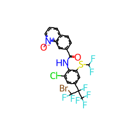 O=C(Nc1c(Cl)cc(C(F)(C(F)(F)F)C(F)(F)Br)cc1SC(F)F)c1ccc2ccc[n+]([O-])c2c1